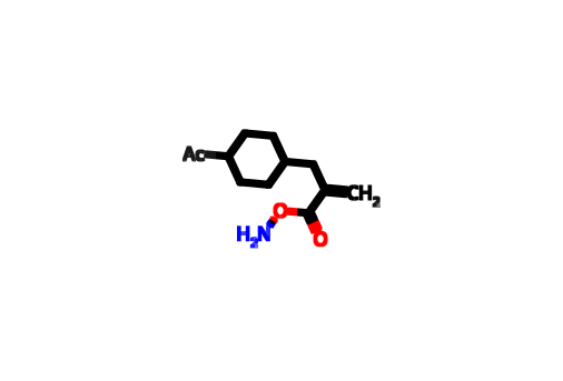 C=C(CC1CCC(C(C)=O)CC1)C(=O)ON